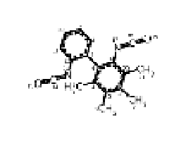 Cc1c(C)c(C)c(-c2ccccc2N=C=O)c(N=C=O)c1C